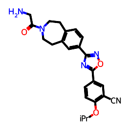 CC(C)Oc1ccc(-c2nc(-c3ccc4c(c3)CCN(C(=O)CN)CC4)no2)cc1C#N